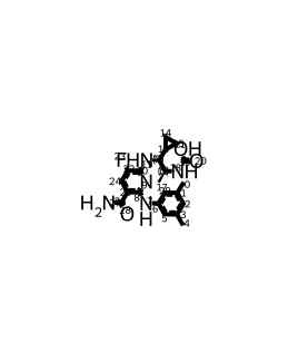 Cc1cc(C)cc(Nc2nc(N[C@@H](C3CC3)[C@H](C)NC(=O)O)c(F)cc2C(N)=O)c1